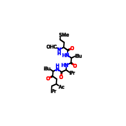 CCC(C)C(NC(=O)C(NC(=O)C(NC(=O)C(CCSC)NC=O)C(C)CC)C(C)C)C(=O)CC(CC(C)C)C(C)=O